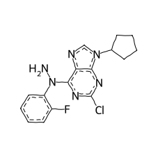 NN(c1ccccc1F)c1nc(Cl)nc2c1ncn2C1CCCC1